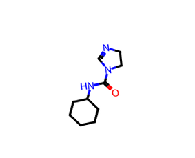 O=C(NC1CCCCC1)N1C=NCC1